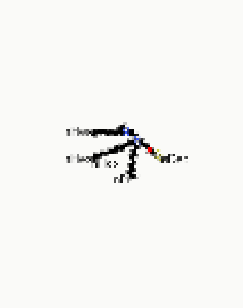 C=C(CCC)CCCCCCCCC(CCCCCCCCCCCC(CCCCCC)CCCCCC)N(CCCCCCSSCCCCCCCCCC)CCCN1CCC(CCCCCCC(C)CCCCCC)C1